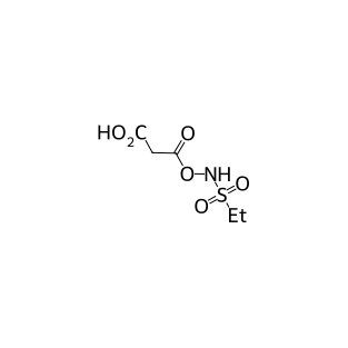 CCS(=O)(=O)NOC(=O)CC(=O)O